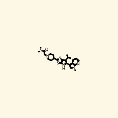 CC(C)c1c(-c2cn(C)c3ncccc23)[nH]c2sc(C3CCN(CC(=O)N(C)C)CC3)nc12